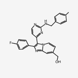 Cc1ccc(CNc2nccc(-c3c(-c4ccc(F)cc4)nc4cc(CO)ccn34)n2)cc1